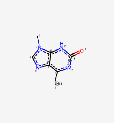 Cn1cnc2c(C(C)(C)C)nc(=O)[nH]c21